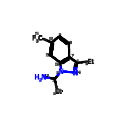 C[CH]C(N)n1nc(CC)c2ccc(C(F)(F)F)cc21